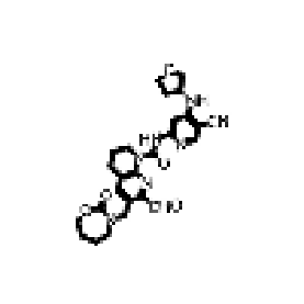 N#Cc1cnc(NC(=O)N2CCCc3cc(CN4CCCCOC4=O)c(C=O)nc32)cc1N[C@@H]1CCOC1